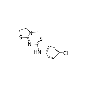 CN1CCSC1=NC(=S)Nc1ccc(Cl)cc1